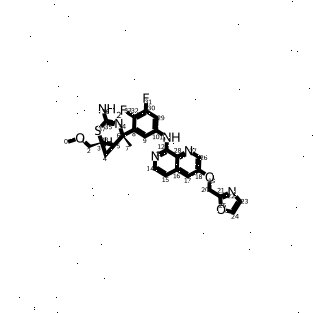 COC[C@]12C[C@H]1[C@@](C)(c1cc(Nc3nccc4cc(OCc5ncco5)cnc34)cc(F)c1F)N=C(N)S2